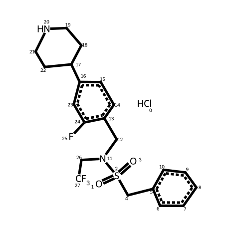 Cl.O=S(=O)(Cc1ccccc1)N(Cc1ccc(C2CCNCC2)cc1F)CC(F)(F)F